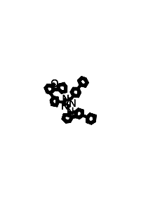 c1ccc(-c2ccc(-c3nc(-c4cccc(-c5cccc6oc7ccccc7c56)c4)nc(-n4c5ccccc5c5cc(-c6ccccc6)ccc54)n3)cc2)cc1